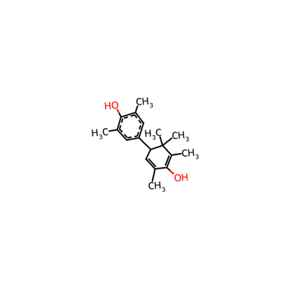 CC1=CC(c2cc(C)c(O)c(C)c2)C(C)(C)C(C)=C1O